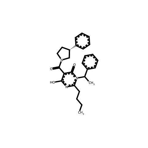 CCCCc1nc(O)c(C(=O)N2CC[C@H](c3ccccc3)C2)c(=O)n1C(C)c1ccccc1